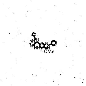 COc1nc(-c2ccccc2)nc2cc(-c3nc(C4CCC4)n4ncnc(N)c34)ccc12